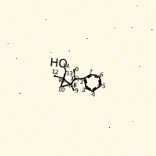 C[C@@H](c1ccccc1)[C@]1(C)C[C@]1(C)CO